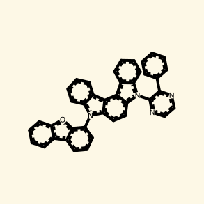 c1ccc(-c2nccnc2-n2c3ccccc3c3c4c5ccccc5n(-c5cccc6c5oc5ccccc56)c4ccc32)cc1